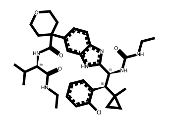 CCNC(=O)N[C@H](c1nc2ccc(C3(C(=O)N[C@@H](C(=O)NCC)C(C)C)CCOCC3)cc2[nH]1)[C@H](c1ccccc1Cl)C1(C)CC1